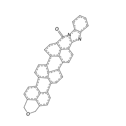 O=c1c2ccc3c4ccc5c6ccc7c8c(ccc(c9ccc(c%10ccc(c2c3%10)c2nc3ccccc3n12)c4c59)c86)COC7